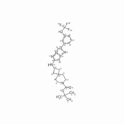 CC(C)(C)OC(=O)N1CCC2(CC1)CC(Nc1nn3cc(-c4cccc(OC(F)(F)F)c4)nc3s1)C2